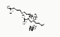 CC(=O)[O-].CC(=O)[O-].CCCCCCCC(=O)[O-].CCCCCCCC(=O)[O-].[Ni+2].[Ni+2]